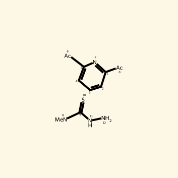 CC(=O)c1cccc(C(C)=O)n1.CNC(=S)NN